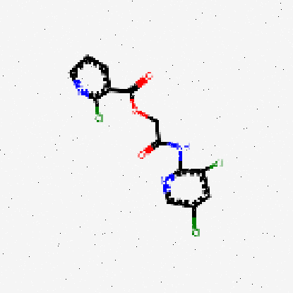 O=C(COC(=O)c1cccnc1Cl)Nc1ncc(Cl)cc1Cl